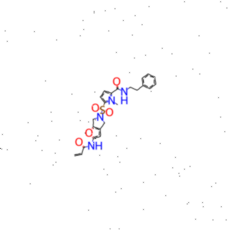 C=CC(=O)Nc1cc2c(o1)CN(S(=O)(=O)c1ccc(C(=O)NCCc3ccccc3)n1C)C2